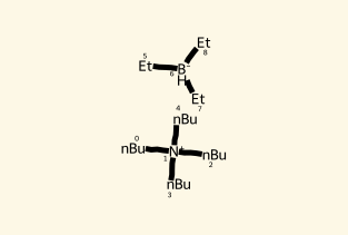 CCCC[N+](CCCC)(CCCC)CCCC.CC[BH-](CC)CC